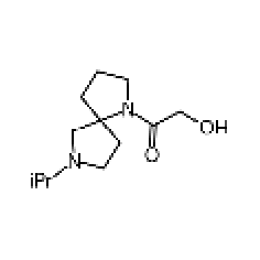 CC(C)N1CCC2(CCCN2C(=O)CO)C1